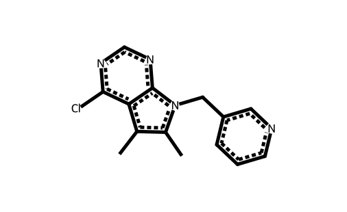 Cc1c(C)n(Cc2cccnc2)c2ncnc(Cl)c12